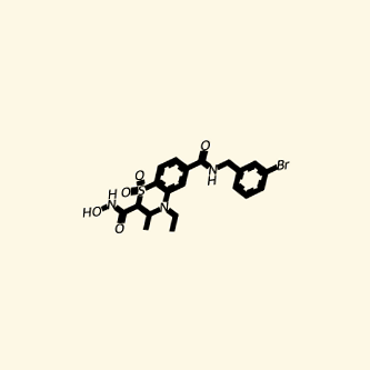 CCN1c2cc(C(=O)NCc3cccc(Br)c3)ccc2S(=O)(=O)C(C(=O)NO)C1C